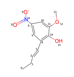 CC/C=C/c1cc([N+](=O)[O-])cc(OC)c1O